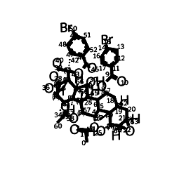 CC(=O)O[C@H]1C2C([C@@H](OC(=O)c3ccc(Br)cc3)C[C@H]3C[C@@H]4O[C@@H]4[C@H](O)[C@]23C)[C@@H]2[C@@H](O)[C@@H]3[C@H]([C@H](C)[C@H]4O[C@]45OC(=O)[C@@](C)(OC(=O)c4ccc(Br)cc4)[C@]35C)[C@@]2(C)[C@H]1OC(C)=O